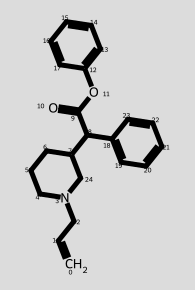 C=CCN1CCCC(C(C(=O)Oc2ccccc2)c2ccccc2)C1